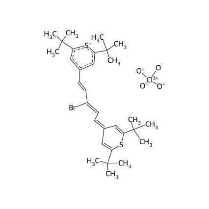 CC(C)(C)C1=CC(=C/C=C(Br)/C=C/c2cc(C(C)(C)C)[s+]c(C(C)(C)C)c2)C=C(C(C)(C)C)S1.[O-][Cl+3]([O-])([O-])[O-]